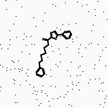 O=C(CSCCCCc1ccccc1)c1ncc(-c2ccccn2)o1